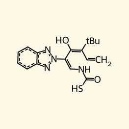 C=C/C(=C(O)\C(=C/NC(=O)S)n1nc2ccccc2n1)C(C)(C)C